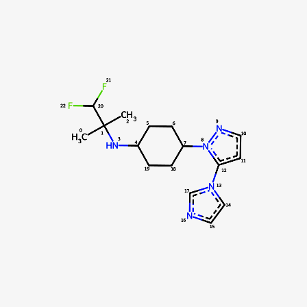 CC(C)(NC1CCC(n2nccc2-n2ccnc2)CC1)C(F)F